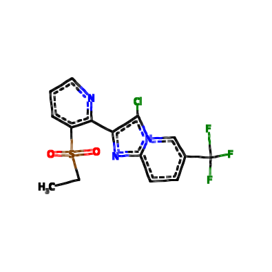 CCS(=O)(=O)c1cccnc1-c1nc2ccc(C(F)(F)F)cn2c1Cl